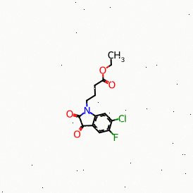 CCOC(=O)CCCN1C(=O)C(=O)c2cc(F)c(Cl)cc21